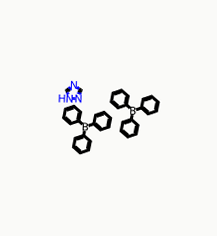 c1ccc(B(c2ccccc2)c2ccccc2)cc1.c1ccc(B(c2ccccc2)c2ccccc2)cc1.c1nc[nH]n1